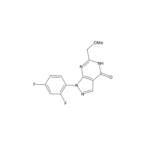 COCc1nc2c(cnn2-c2ccc(F)cc2F)c(=O)[nH]1